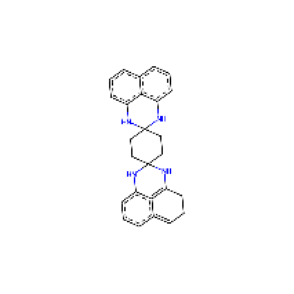 C1=c2cccc3c2=C(CC1)NC1(CCC2(CC1)Nc1cccc4cccc(c14)N2)N3